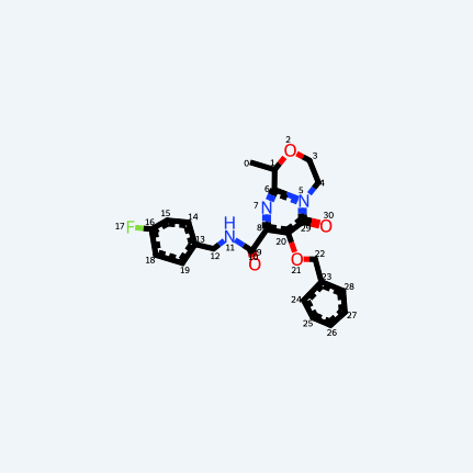 CC1OCCn2c1nc(C(=O)NCc1ccc(F)cc1)c(OCc1ccccc1)c2=O